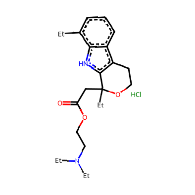 CCc1cccc2c3c([nH]c12)C(CC)(CC(=O)OCCN(CC)CC)OCC3.Cl